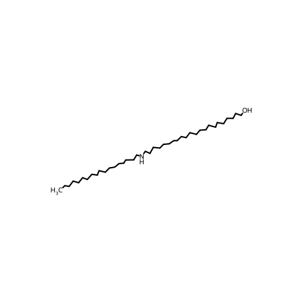 CCCCCCCCCCCCCCCCCCNCCCCCCCCCCCCCCCCCCCCCCO